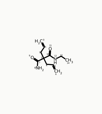 C=CCC(CC=C)(C(N)=O)C(=O)NCC